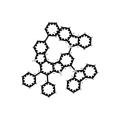 c1ccc(-c2ccc3oc4c(-c5ccccc5)c(-c5ccccc5)c5oc6c(-n7c8ccccc8c8ccccc87)cc(-n7c8ccccc8c8ccccc87)cc6c5c4c3c2)cc1